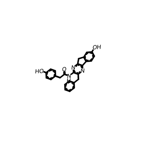 O=C(Cc1ccc(O)cc1)Nc1nc2c(nc1Cc1ccccc1)-c1ccc(O)cc1C2